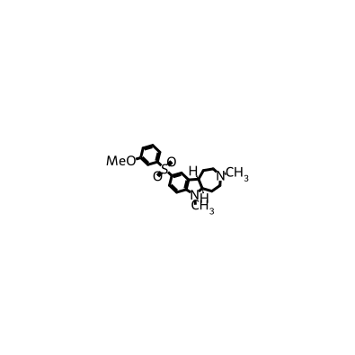 COc1cccc(S(=O)(=O)c2ccc3c(c2)[C@H]2CCN(C)CC[C@H]2N3C)c1